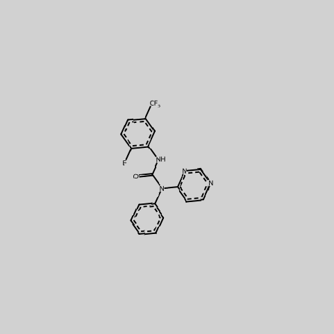 O=C(Nc1cc(C(F)(F)F)ccc1F)N(c1ccccc1)c1ccncn1